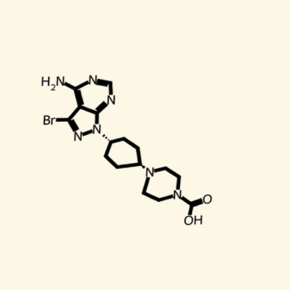 Nc1ncnc2c1c(Br)nn2[C@H]1CC[C@@H](N2CCN(C(=O)O)CC2)CC1